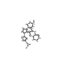 CC1CC1c1noc(-c2ncn3c2c(=O)n(Cc2ccccn2)c2cc(F)ccc23)n1